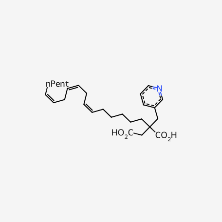 CCCCC/C=C\C/C=C\C/C=C\CCCCCC(CC(=O)O)(Cc1cccnc1)C(=O)O